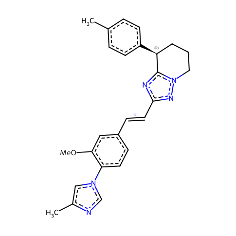 COc1cc(/C=C/c2nc3n(n2)CCC[C@@H]3c2ccc(C)cc2)ccc1-n1cnc(C)c1